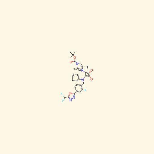 CC(C)(C)OC(=O)N1C[C@@H]2C[C@H]1CN2c1c(N(Cc2ccc(-c3nnc(C(F)F)o3)cc2F)c2ccccc2)c(=O)c1=O